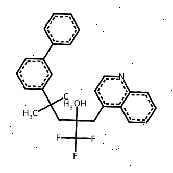 CC(C)(CC(O)(Cc1ccnc2ccccc12)C(F)(F)F)c1cccc(-c2ccccc2)c1